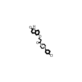 O=C(CCOc1ccc2[nH]c(=O)ccc2c1)N1CCN(c2ccc(Cl)cc2)CC1